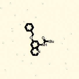 CC(C)(C)C(=O)Nc1cc(OCc2ccccc2)cc2cccnc12